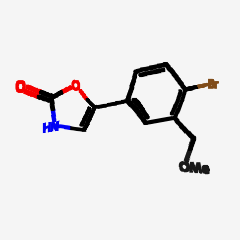 COCc1cc(-c2c[nH]c(=O)o2)ccc1Br